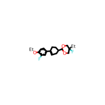 CCOc1ccc(C2=CCC(C3OCC(F)(CC)CO3)CC2)cc1F